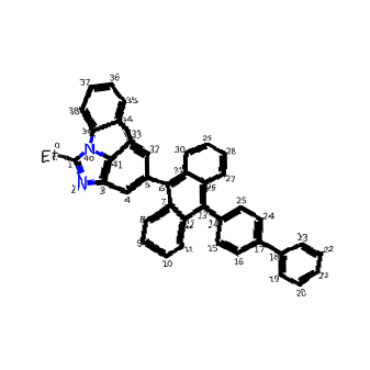 CCc1nc2cc(-c3c4ccccc4c(-c4ccc(-c5ccccc5)cc4)c4ccccc34)cc3c4ccccc4n1c23